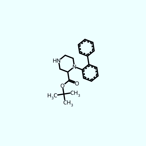 CC(C)(C)OC(=O)C1CNCCN1c1ccccc1-c1ccccc1